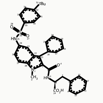 Cn1c(C(=O)N[C@@H](Cc2ccccc2)C(=O)O)c(-c2ccccc2)c2cc(NS(=O)(=O)c3ccc(C(C)(C)C)cc3)ccc21